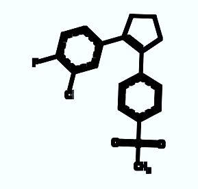 CS(=O)(=O)c1ccc(C2=C(c3ccc(F)c(Cl)c3)CCC2)cc1